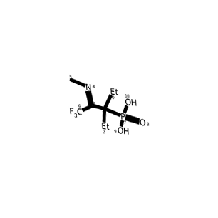 CCC(CC)(C(=NC)C(F)(F)F)P(=O)(O)O